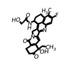 CC[C@@]1(O)C(=O)CCc2c1cc1n(c2=O)Cc2c-1nc1cc(F)c(C)c3c1c2C(NC(=O)CO)CC3